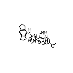 CO[C@H]1CN/C(=C(\C=N)S(N)(=O)=NC(=O)Nc2c3c(cc4c2CCC4)CCC3)OC1